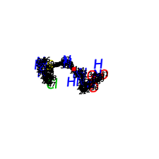 Cc1c(C#Cc2cnn(CCCCn3cnc(CNc4cccc5c4CN(C4CCC(=O)NC4=O)C5=O)c3)c2)sc2c1C(c1ccc(Cl)cc1)=NCc1nnc(C)n1-2